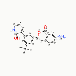 CC(C)(C)c1cc(-c2cccnc2O)cc(C2Cc3ccc(N)cc3C(=O)O2)c1